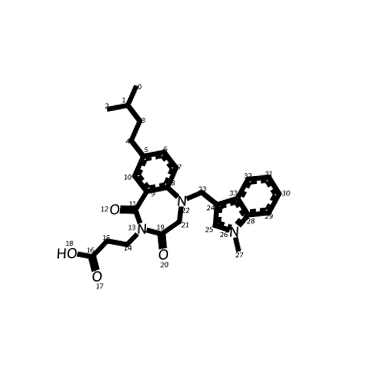 CC(C)CCc1ccc2c(c1)C(=O)N(CCC(=O)O)C(=O)CN2Cc1cn(C)c2ccccc12